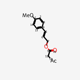 COc1ccc(/C=C/COC(=O)CC(C)=O)cc1